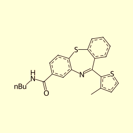 CCCCNC(=O)c1ccc2c(c1)N=C(c1sccc1C)c1ccccc1S2